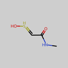 CNC(=O)/C=[SH]/O